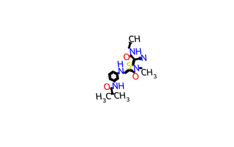 C#CCNC(=O)C(C#N)=c1sc(=CNc2cccc(NC(=O)C(C)C)c2)c(=O)n1CC